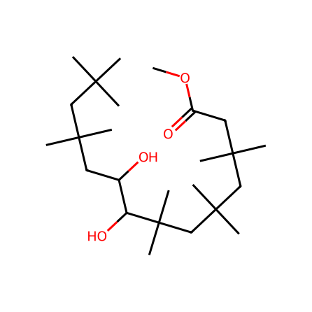 COC(=O)CC(C)(C)CC(C)(C)CC(C)(C)C(O)C(O)CC(C)(C)CC(C)(C)C